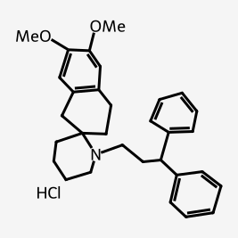 COc1cc2c(cc1OC)CC1(CCCCN1CCC(c1ccccc1)c1ccccc1)CC2.Cl